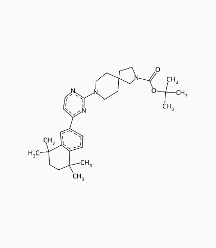 CC(C)(C)OC(=O)N1CCC2(CCN(c3nccc(-c4ccc5c(c4)C(C)(C)CCC5(C)C)n3)CC2)C1